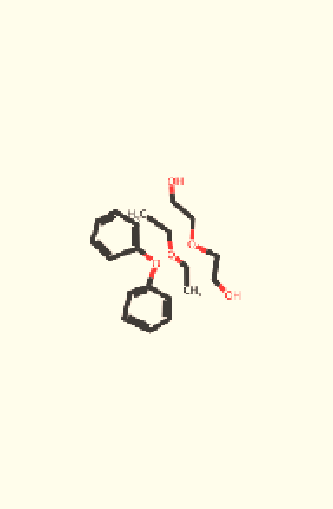 CCOCC.OCCOCCO.c1ccc(Oc2ccccc2)cc1